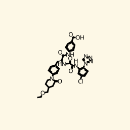 CCOCC1CCN(c2ccc(C[C@H](NC(=O)C(=O)Nc3cc(Cl)ccc3-n3cnnn3)C(=O)Nc3ccc(C(=O)O)cc3)cc2)C(=O)C1